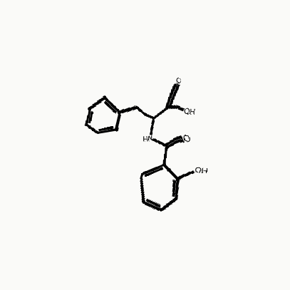 O=C(NC(Cc1ccccc1)C(=O)O)c1ccccc1O